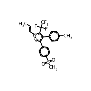 CC=Cn1nc(-c2ccc(S(C)(=O)=O)cc2)c(-c2ccc(C)cc2)c1C(F)(F)C(F)(F)F